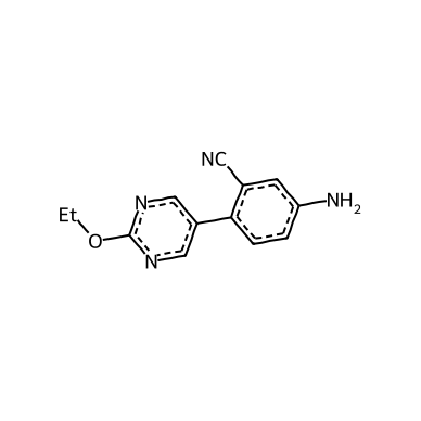 CCOc1ncc(-c2ccc(N)cc2C#N)cn1